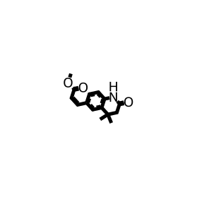 COC(=O)/C=C\c1ccc2c(c1)C(C)(C)CC(=O)N2